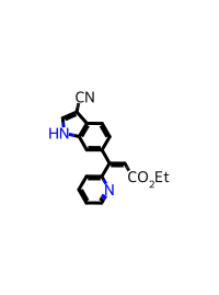 CCOC(=O)/C=C(/c1ccc2c(C#N)c[nH]c2c1)c1ccccn1